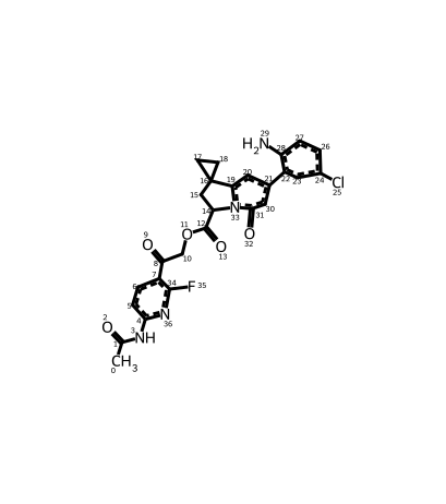 CC(=O)Nc1ccc(C(=O)COC(=O)C2CC3(CC3)c3cc(-c4cc(Cl)ccc4N)cc(=O)n32)c(F)n1